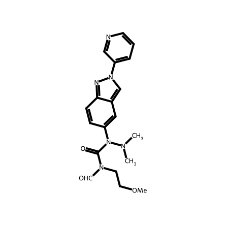 COCCN(C=O)C(=O)N(c1ccc2nn(-c3cccnc3)cc2c1)N(C)C